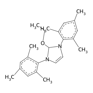 CCOC1N(c2c(C)cc(C)cc2C)C=CN1c1c(C)cc(C)cc1C